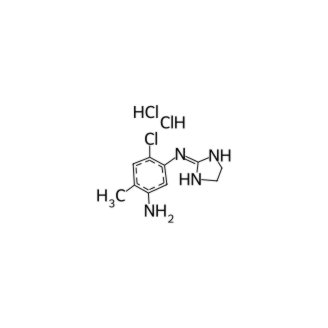 Cc1cc(Cl)c(N=C2NCCN2)cc1N.Cl.Cl